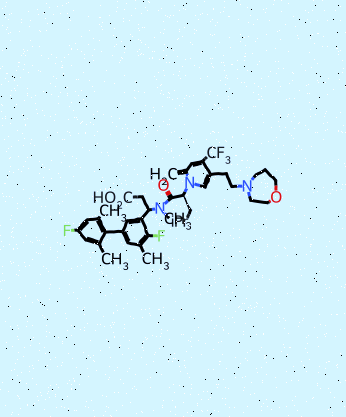 C=C1C=C(C(F)(F)F)C(CCN2CCCOCC2)=CN1[C@@H](CC(C)C)C(=O)N(C)C(CC(=O)O)c1cc(-c2c(C)cc(F)cc2C)cc(C)c1F